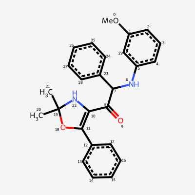 COc1cccc(NC(C(=O)C2=C(c3ccccc3)OC(C)(C)N2)c2ccccc2)c1